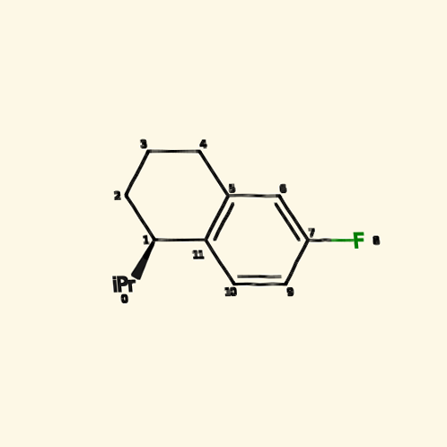 CC(C)[C@H]1CCCc2cc(F)ccc21